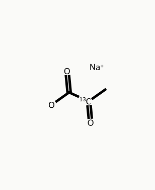 C[13C](=O)C(=O)[O-].[Na+]